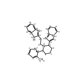 Cc1cccnc1C1CCCC(c2cn3ccccc3n2)N1CCc1nc2ccccc2[nH]1